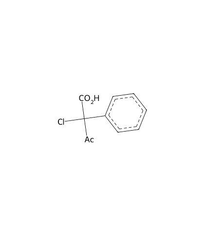 CC(=O)C(Cl)(C(=O)O)c1ccccc1